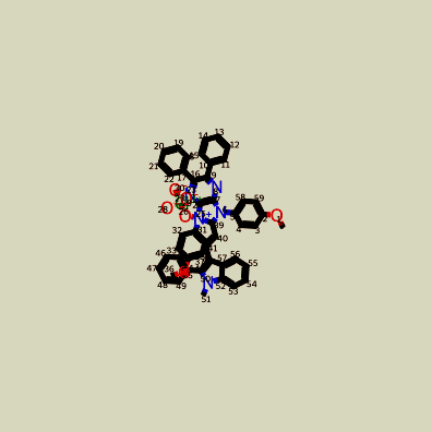 COc1ccc(N2c3nc(-c4ccccc4)c(-c4ccccc4)nc3[N+](O[Cl+3]([O-])([O-])[O-])(c3ccc(OC)cc3)C2C=Cc2c(-c3ccccc3)n(C)c3ccccc23)cc1